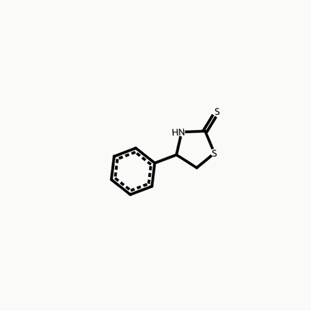 S=C1NC(c2ccccc2)CS1